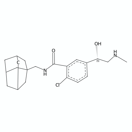 CNC[C@@H](O)c1ccc(Cl)c(C(=O)NCC23CC4CC(CC(C4)C2)C3)c1